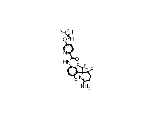 [2H]C([2H])([2H])Oc1ccc(C(=O)Nc2ccc(F)c([C@@]3(C(F)F)N=C(N)CCC3(F)F)c2)nc1